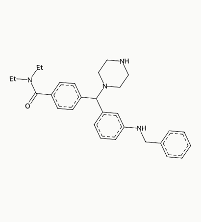 CCN(CC)C(=O)c1ccc(C(c2cccc(NCc3ccccc3)c2)N2CCNCC2)cc1